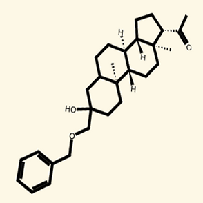 CC(=O)[C@H]1CC[C@H]2[C@@H]3CCC4CC(O)(COCc5ccccc5)CC[C@]4(C)[C@H]3CC[C@]12C